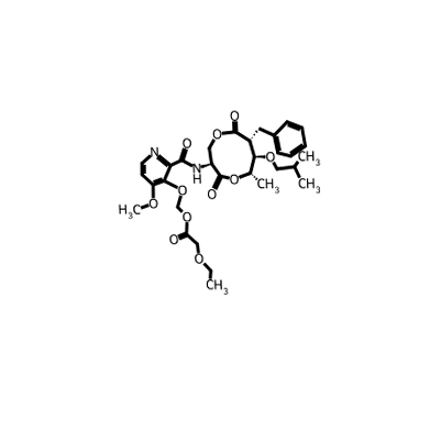 CCOCC(=O)OCOc1c(OC)ccnc1C(=O)N[C@H]1COC(=O)[C@H](Cc2ccccc2)[C@@H](OCC(C)C)[C@H](C)OC1=O